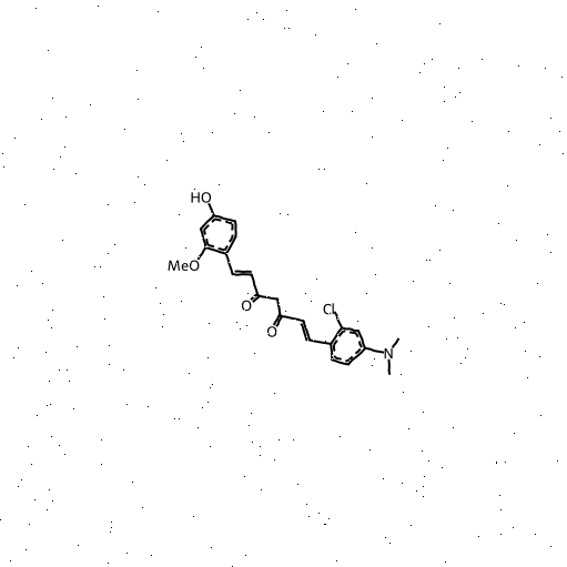 COc1cc(O)ccc1C=CC(=O)CC(=O)C=Cc1ccc(N(C)C)cc1Cl